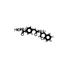 O=C(Cc1ccc(C(=O)NO)cc1)NC(CO)Cc1ccccc1